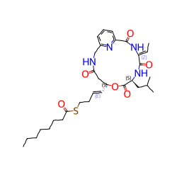 C/C=C1\NC(=O)c2cccc(n2)CNC(=O)C[C@@H](/C=C/CCSC(=O)CCCCCCC)OC(=O)[C@H](CC(C)C)NC1=O